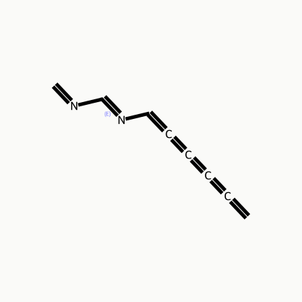 C=C=C=C=C=C/N=C/N=C